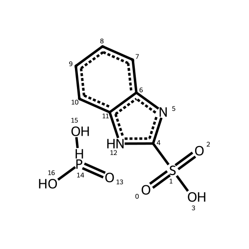 O=S(=O)(O)c1nc2ccccc2[nH]1.O=[PH](O)O